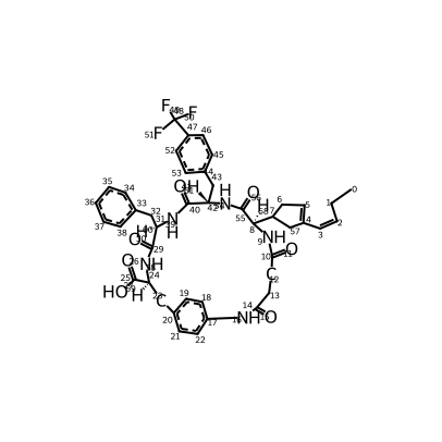 CC/C=C\C1=CCC([C@H]2NC(=O)CCC(=O)Nc3ccc(cc3)C[C@@H](C(=O)O)NC(=O)[C@@H](Cc3ccccc3)NC(=O)[C@H](Cc3ccc(C(F)(F)F)cc3)NC2=O)C1